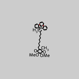 COC1=C(OC)C(=O)C(CCCCCCCCCCP(C)(c2ccccc2)(c2ccccc2)c2ccccc2)=C(C)C1=O